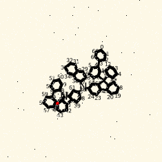 c1ccc(-c2cccc(C3(c4ccccc4)c4ccccc4-c4ccc(N(c5ccc6ccccc6c5)c5ccc6c7ccccc7n(-c7ccccc7-c7ccccc7)c6c5)cc43)c2)cc1